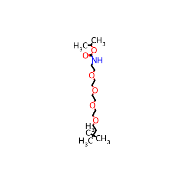 CC(C)OC(=O)NCCOCCOCCOCCOCCC(C)(C)C